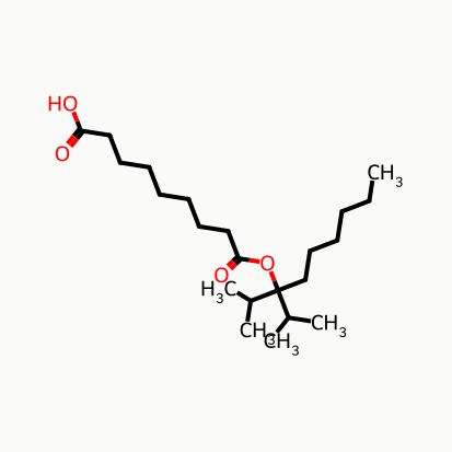 CCCCCCC(OC(=O)CCCCCCCC(=O)O)(C(C)C)C(C)C